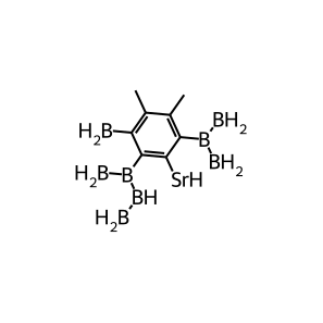 BBB(B)c1c(B)c(C)c(C)c(B(B)B)[c]1[SrH]